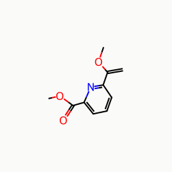 C=C(OC)c1cccc(C(=O)OC)n1